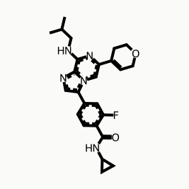 CC(C)CNc1nc(C2=CCOCC2)cn2c(-c3ccc(C(=O)NC4CC4)c(F)c3)cnc12